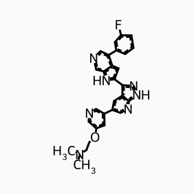 CN(C)CCOc1cncc(-c2cnc3[nH]nc(-c4cc5c(-c6cccc(F)c6)cncc5[nH]4)c3c2)c1